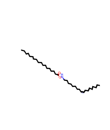 CCCCCCCC/C=C\CCCCCCCCNOC(=O)CCCCCCCCCCCCCCCCC